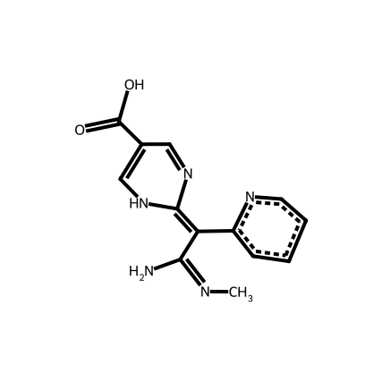 C/N=C(N)\C(=C1\N=CC(C(=O)O)=CN1)c1ccccn1